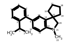 CC(C)c1ccccc1-c1ccc2c(c1)C1(CCCC1)CN2C